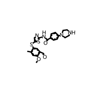 COc1cc(C)c(Sc2cnc(NC(=O)c3ccc(N4CCNCC4)cc3)s2)cc1C=O